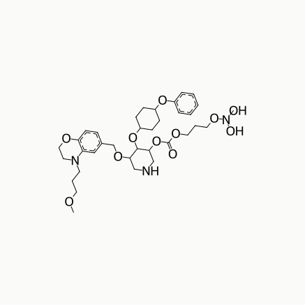 COCCCN1CCOc2ccc(COC3CNCC(OC(=O)OCCCON(O)O)C3OC3CCC(Oc4ccccc4)CC3)cc21